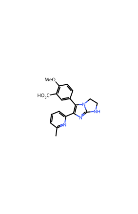 COc1ccc(-c2c(-c3cccc(C)n3)nc3n2CCN3)cc1C(=O)O